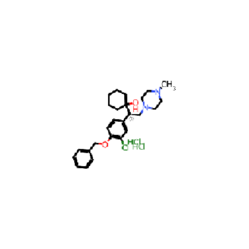 CN1CCN(C[C@@H](c2ccc(OCc3ccccc3)c(Cl)c2)C2(O)CCCCC2)CC1.Cl.Cl